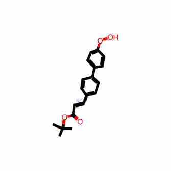 CC(C)(C)OC(=O)/C=C/c1ccc(-c2ccc(OO)cc2)cc1